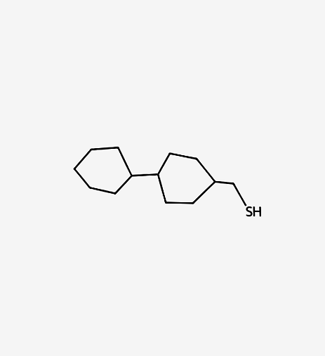 SCC1CCC(C2CCCCC2)CC1